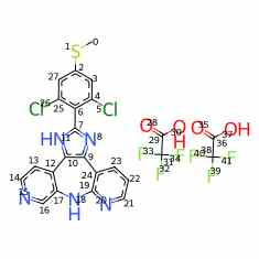 CSc1cc(Cl)c(-c2nc3c([nH]2)-c2ccncc2Nc2ncccc2-3)c(Cl)c1.O=C(O)C(F)(F)F.O=C(O)C(F)(F)F